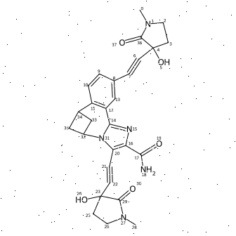 CN1CCC(O)(C#Cc2ccc3c(c2)-c2nc(C(N)=O)c(C#CC4(O)CCN(C)C4=O)n2C2CC3C2)C1=O